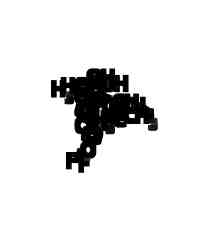 CO[C@@]1(c2ccc(Cl)c(Cc3ccc(OCC(F)F)cc3)c2)O[C@H](CO[Si](C)(C)C(C)(C)C)[C@@H](O)[C@H](O)[C@H]1O